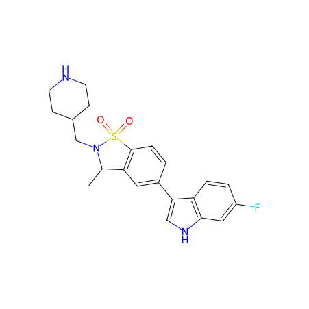 CC1c2cc(-c3c[nH]c4cc(F)ccc34)ccc2S(=O)(=O)N1CC1CCNCC1